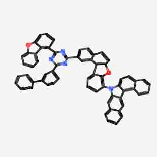 c1ccc(-c2cccc(-c3nc(-c4ccc5ccc6oc7c(-n8c9cc%10ccccc%10cc9c9c%10ccccc%10ccc98)cccc7c6c5c4)nc(-c4cccc5oc6ccccc6c45)n3)c2)cc1